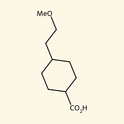 COCCC1CCC(C(=O)O)CC1